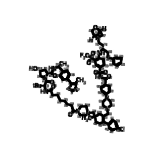 Cc1ncsc1-c1ccc([C@H](C)NC(=O)[C@@H]2C[C@@H](O)CN2C(=O)[C@@H](NC(=O)CCCCCCC(=O)N2CCN(CC3(C)CCC(c4ccc(Cl)cc4)=C(CN4CCN(c5ccc(C(=O)NS(=O)(=O)c6ccc(N[C@H](CCN7C[C@@H]8C[C@H]7CO8)CSc7ccccc7)c(S(=O)(=O)C(F)(F)F)c6)cc5)CC4)C3)CC2)C(C)(C)C)cc1